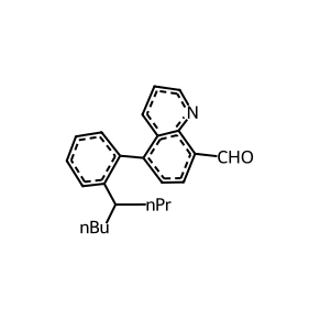 CCCCC(CCC)c1ccccc1-c1ccc(C=O)c2ncccc12